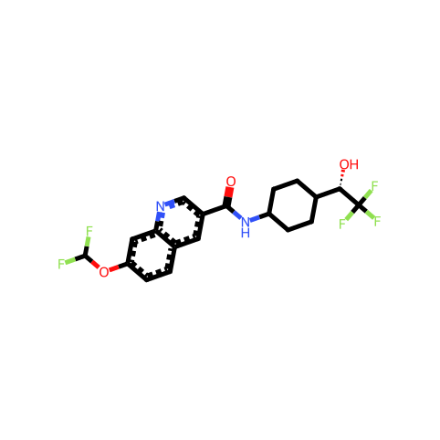 O=C(NC1CCC([C@H](O)C(F)(F)F)CC1)c1cnc2cc(OC(F)F)ccc2c1